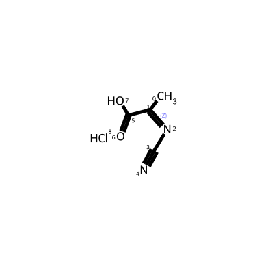 C/C(=N/C#N)C(=O)O.Cl